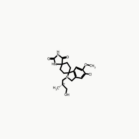 COc1cc2c(cc1Cl)CN(C[C@@H](C)CO)C21CCC2(CC1)NC(=O)NC2=O